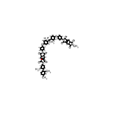 Cc1ccc(-c2ccc(N3C(=O)C4C5C=CC(C6C(=O)N(c7ccc(Oc8ccc(C(C)(C)c9ccc(Oc%10ccc(N%11C(=O)C%12C%13C=CC(C%14C(=O)N(C)C(=O)C%13%14)C%12C%11=O)cc%10)cc9)cc8)cc7)C(=O)C56)C4C3=O)cc2C)c(C)c1